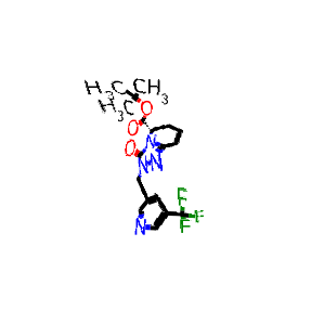 CC(C)(C)OC(=O)[C@@H]1CCCc2nn(Cc3cncc(C(F)(F)F)c3)c(=O)n21